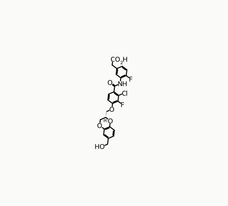 O=C(O)Cc1ccc(F)c(NC(=O)c2ccc(OC[C@H]3COc4cc(CO)ccc4O3)c(F)c2Cl)c1